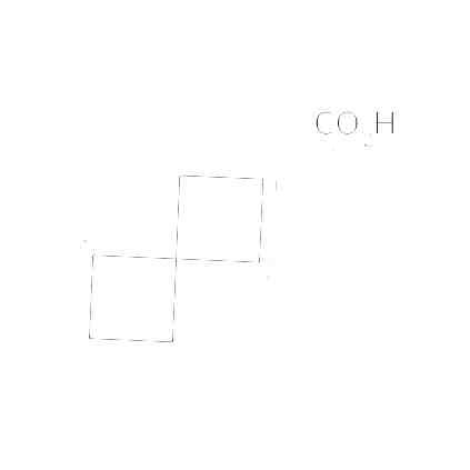 O=C(O)C1[CH]C2(CCC2)C1